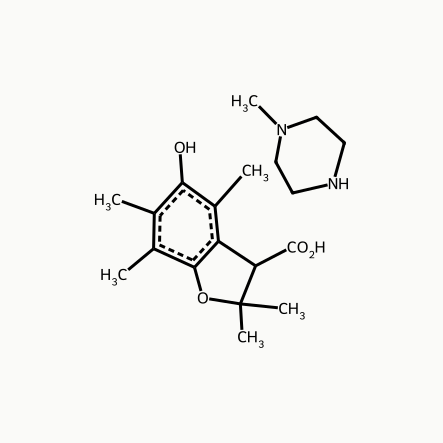 CN1CCNCC1.Cc1c(C)c2c(c(C)c1O)C(C(=O)O)C(C)(C)O2